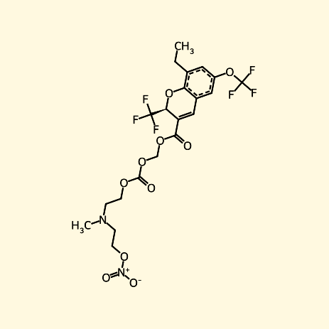 CCc1cc(OC(F)(F)F)cc2c1O[C@H](C(F)(F)F)C(C(=O)OCOC(=O)OCCN(C)CCO[N+](=O)[O-])=C2